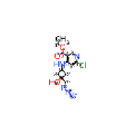 CCOC(=O)c1cnc(Cl)cc1NC1CC(O)(CN=[N+]=[N-])C1